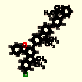 CC1(C)c2ccccc2-c2ccc(-c3ccc4c(c3)C(C)(C)c3cc(-c5cc6c(c7c5oc5ccccc57)-c5ccc(Cl)cc5C6(C)C)ccc3-4)cc21